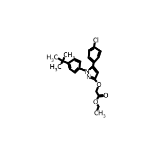 CCOC(=O)COc1cc(-c2ccc(Cl)cc2)n(-c2ccc(C(C)(C)C)cc2)n1